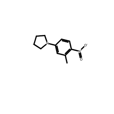 Cc1cc(N2C[CH]CC2)ccc1[N+](=O)[O-]